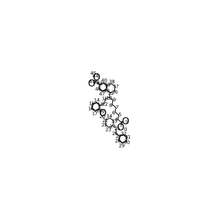 COC(=O)CCCCCCC(CCc1ccccc1OC[C@H]1CC[C@@H](CCc2ccccc2)CC1)C1CCCc2cc(C(=O)OC)ccc21